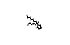 CCCCCCCC(C)(CCCCC)n1cccc1